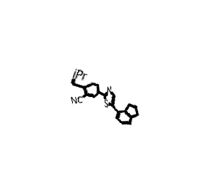 CC(C)CC1CC=C(c2ncc(-c3cccc4c3CCC4)s2)C=C1C#N